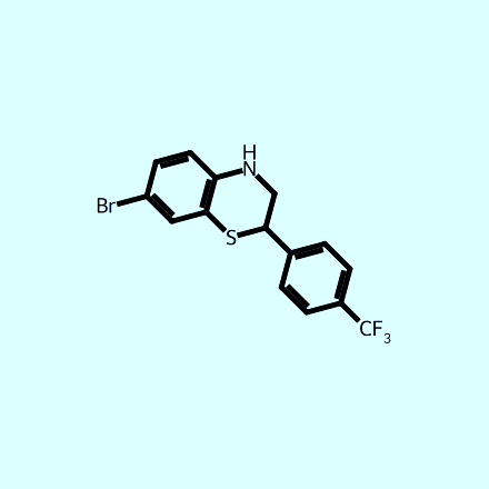 FC(F)(F)c1ccc(C2CNc3ccc(Br)cc3S2)cc1